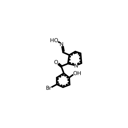 O=C(c1cc(Br)ccc1O)c1ncccc1C=NO